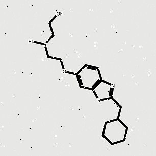 CCN(CCO)CCOc1ccc2nc(CC3CCCCC3)sc2c1